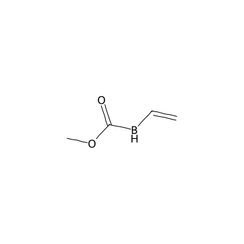 C=CBC(=O)OC